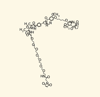 COc1cc2c(cc1OCCCCCOc1cc3c(cc1OC)C(=O)N1CCC[C@H]1C(=O)N3)N=C[C@@H]1CC(c3ccc(NC(=O)[C@H](C)NC(=O)[C@@H](NC(=O)CCOCCOCCOCCOCCOCCOCCOCCNC(=O)CCN4C(=O)C=CC4=O)C(C)C)cc3)=CN1C2=O